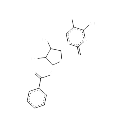 Nc1nc(=O)n([C@@H]2O[C@H](CC(=O)c3ccccc3)C(O)C2O)cc1F